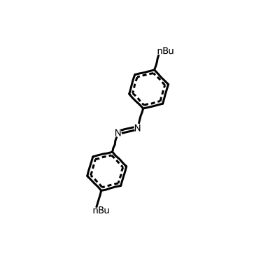 CCCCc1ccc(N=Nc2ccc(CCCC)cc2)cc1